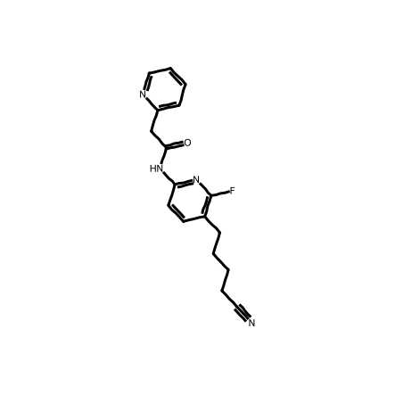 N#CCCCCc1ccc(NC(=O)Cc2ccccn2)nc1F